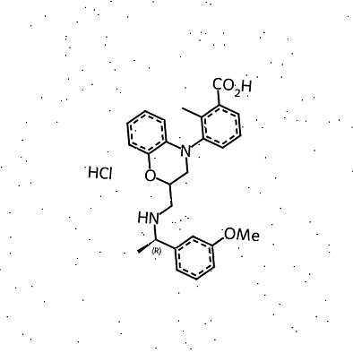 COc1cccc([C@@H](C)NCC2CN(c3cccc(C(=O)O)c3C)c3ccccc3O2)c1.Cl